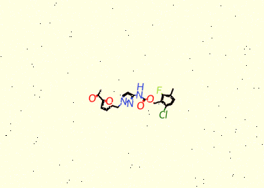 CC(=O)c1ccc(Cn2ccc(NC(=O)OCc3c(Cl)ccc(C)c3F)n2)o1